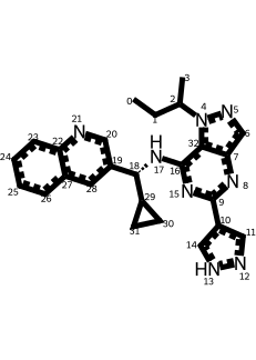 CCC(C)n1ncc2nc(-c3cn[nH]c3)nc(N[C@@H](c3cnc4ccccc4c3)C3CC3)c21